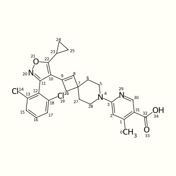 Cc1cc(N2CCC3(C=C(c4c(-c5c(Cl)cccc5Cl)noc4C4CC4)C3)CC2)ncc1C(=O)O